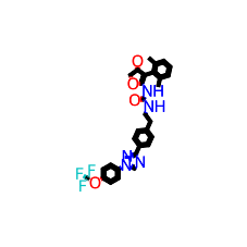 Cc1cccc(C)c1C1=C(NC(=O)NCCc2ccc(-c3ncn(-c4ccc(OC(F)(F)F)cc4)n3)cc2)OCC1=O